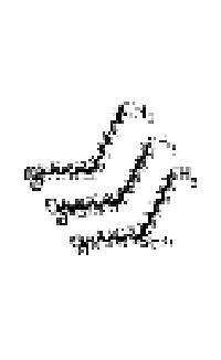 CCCCCCCCCC/C=C\CCCCCCCC(=O)[O-].CCCCCCCCCC/C=C\CCCCCCCC(=O)[O-].CCCCCCCCCC/C=C\CCCCCCCC(=O)[O-].[Sc+3]